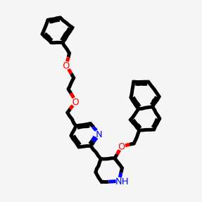 c1ccc(COCCOCc2ccc(C3CCNCC3OCc3ccc4ccccc4c3)nc2)cc1